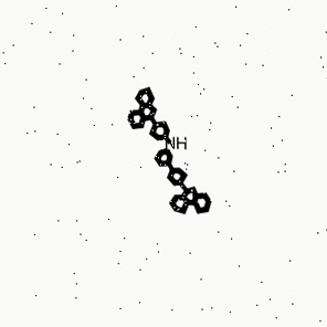 c1cc(Nc2ccc(-c3cc4ccccc4c4ccccc34)cc2)cc(-c2ccc(-c3cc4ccccc4c4ccccc34)cc2)c1